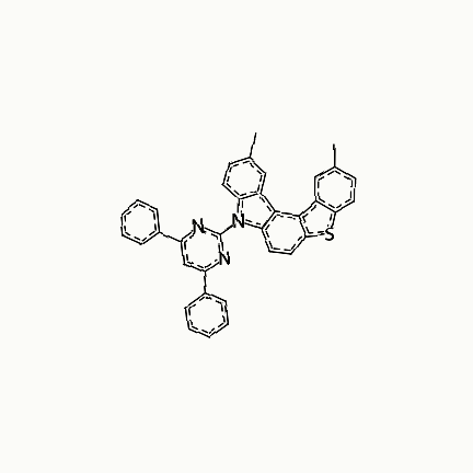 Cc1ccc2sc3ccc4c(c5cc(C)ccc5n4-c4nc(-c5ccccc5)cc(-c5ccccc5)n4)c3c2c1